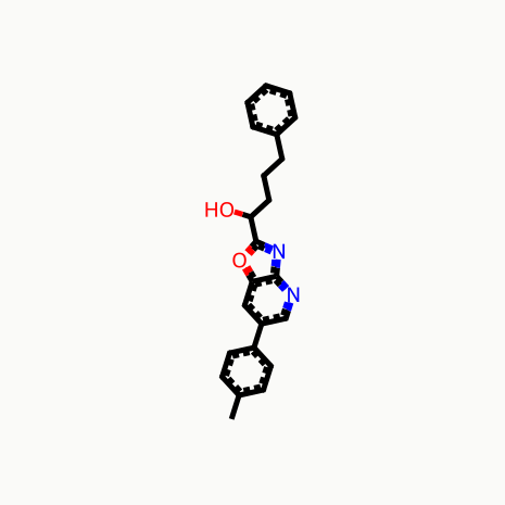 Cc1ccc(-c2cnc3nc(C(O)CCCc4ccccc4)oc3c2)cc1